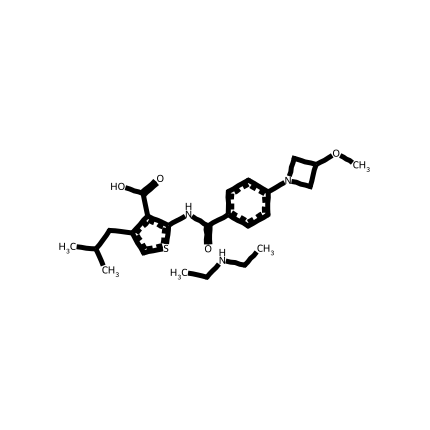 CCNCC.COC1CN(c2ccc(C(=O)Nc3scc(CC(C)C)c3C(=O)O)cc2)C1